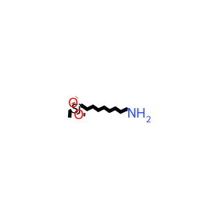 CC[Si](CCCCCCCCCN)(OC)OC